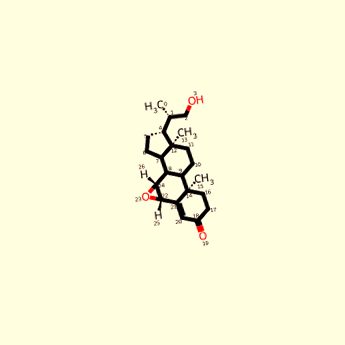 C[C@H](CO)[C@H]1CCC2C3C(CC[C@@]21C)[C@@]1(C)CCC(=O)C=C1[C@@H]1O[C@H]31